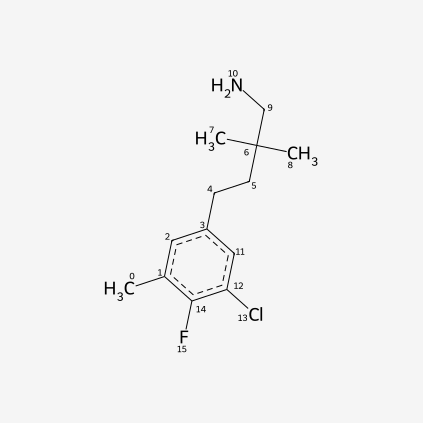 Cc1cc(CCC(C)(C)CN)cc(Cl)c1F